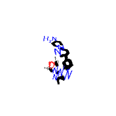 Cc1nc(N2C[C@@H](C)O[C@@H](C)C2)n2c1cnc1ccc(-c3ccc(N4CCC(N)CC4)nc3)cc12